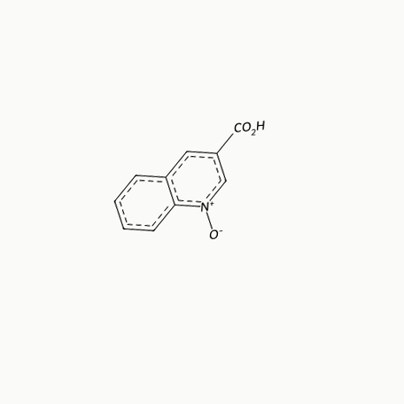 O=C(O)c1cc2ccccc2[n+]([O-])c1